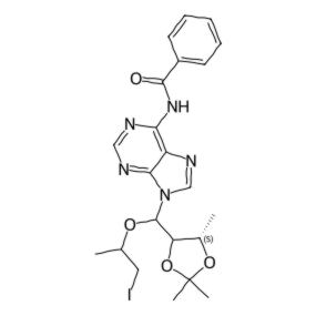 CC(CI)OC(C1OC(C)(C)O[C@H]1C)n1cnc2c(NC(=O)c3ccccc3)ncnc21